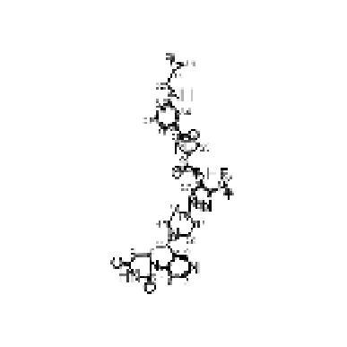 O=C1CCN(c2ccncc2CN2CCC(n3cc(NC(=O)c4coc(-c5ccnc(NCC6CC6)c5)n4)c(C(F)F)n3)CC2)C(=O)N1